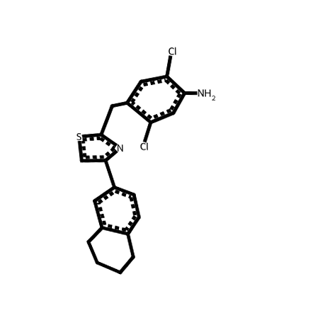 Nc1cc(Cl)c(Cc2nc(-c3ccc4c(c3)CCCC4)cs2)cc1Cl